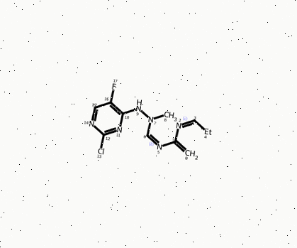 C=C(/N=C\CC)/N=C\N(C)Nc1nc(Cl)ncc1F